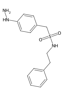 NNc1ccc(CS(=O)(=O)NCCc2ccccc2)cc1